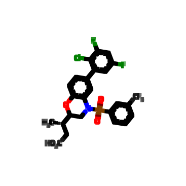 C[C@@H](CC(=O)O)C1CN(S(=O)(=O)c2cccc(C(F)(F)F)c2)c2cc(-c3cc(F)cc(F)c3Cl)ccc2O1